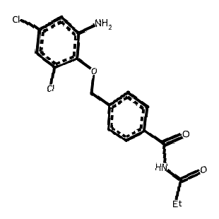 CCC(=O)NC(=O)c1ccc(COc2c(N)cc(Cl)cc2Cl)cc1